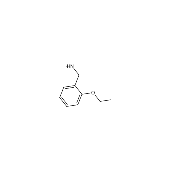 CCOc1ccccc1C[NH]